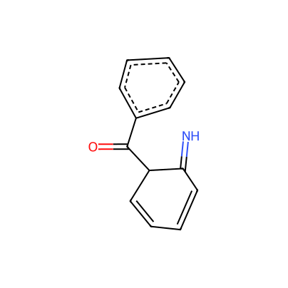 N=C1C=CC=CC1C(=O)c1ccccc1